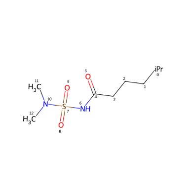 CC(C)CCCC(=O)NS(=O)(=O)N(C)C